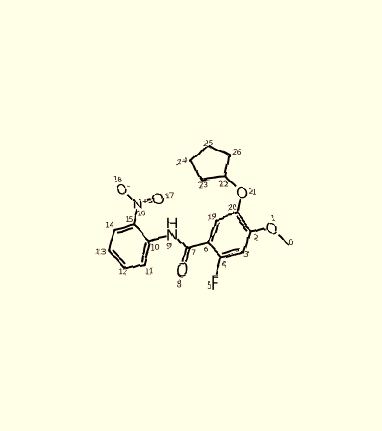 COc1cc(F)c(C(=O)Nc2ccccc2[N+](=O)[O-])cc1OC1CCCC1